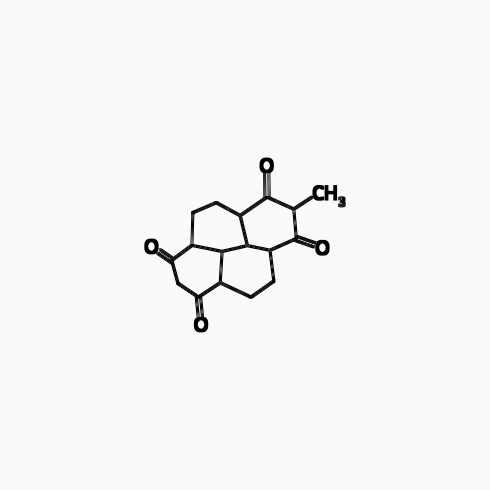 CC1C(=O)C2CCC3C(=O)CC(=O)C4CCC(C1=O)C2C34